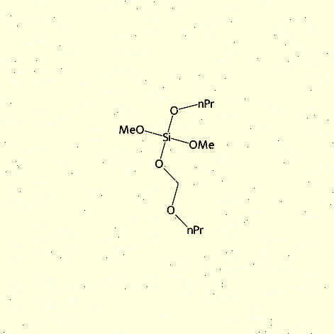 CCCOCO[Si](OC)(OC)OCCC